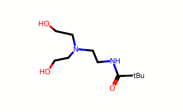 CC(C)(C)C(=O)NCCN(CCO)CCO